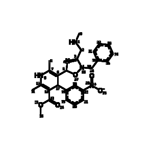 CNCC1=NC(C2=C(C)NC(C)=C(C(=O)OC)C2c2cccc([N+](=O)[O-])c2)ON1Cc1ccccc1